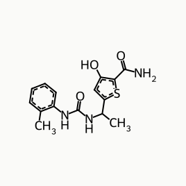 Cc1ccccc1NC(=O)NC(C)c1cc(O)c(C(N)=O)s1